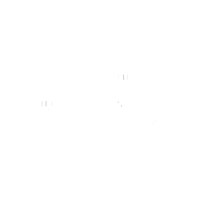 C=C/C=C\c1ccn(CCCl)c1C